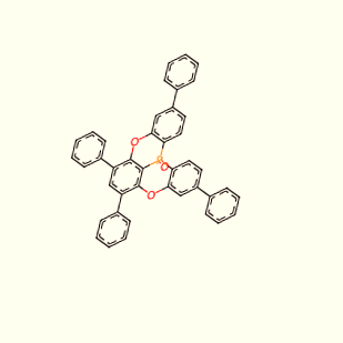 O=P12c3ccc(-c4ccccc4)cc3Oc3c(-c4ccccc4)cc(-c4ccccc4)c(c31)Oc1cc(-c3ccccc3)ccc12